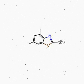 Cc1cc(C)c2nc(C(C)(C)C)sc2c1